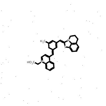 CC1=CC(/C=C2\Sc3cccc4c3N2CCC4)=CC(=C/c2cc[n+](CC(=O)O)c3ccccc23)/C1